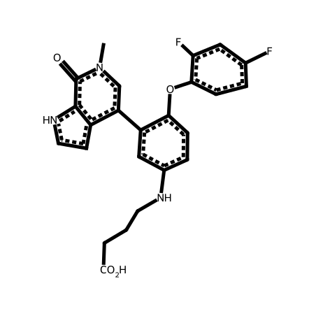 Cn1cc(-c2cc(NCCCC(=O)O)ccc2Oc2ccc(F)cc2F)c2cc[nH]c2c1=O